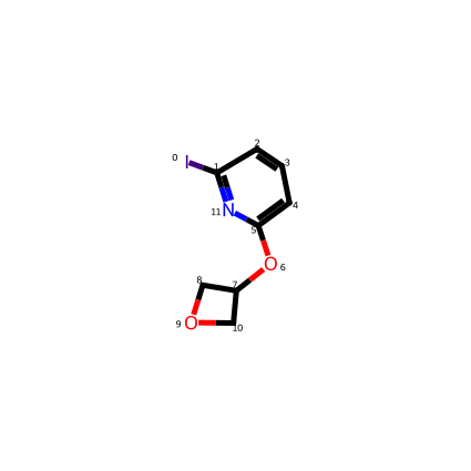 Ic1cccc(OC2COC2)n1